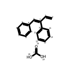 C=CC(=Cc1ccccc1)c1ccccc1.O=C(O)O